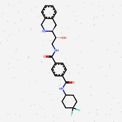 O=C(NC[C@@H](O)[C@@H]1Cc2ccccc2CN1)c1ccc(C(=O)NC2CCC(F)(F)CC2)cc1